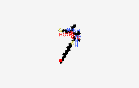 CC[C@H](C)[C@H](NC(=O)[C@@H](NC(=O)[C@H](CSC/C=C(\C)CC/C=C(\C)CCC=C(C)C)NC(C)=O)C(C)C)C(=O)N[C@H](CCSC)C(=O)O